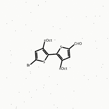 CCCCCCCCc1cc(Br)sc1-c1sc(C=O)cc1CCCCCCCC